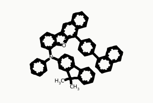 CC1(C)c2ccccc2-c2ccc(N(c3ccccc3)c3cccc4c3oc3c(-c5ccc(-c6cccc7ccccc67)cc5)c5ccccc5cc34)cc21